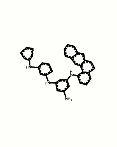 Nc1cc(Nc2cccc(Nc3ccccc3)c2)cc(Nc2cccc3ccc4cc5ccccc5cc4c23)c1